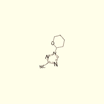 N#Cc1ncn(C2CCCCO2)n1